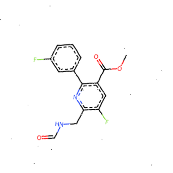 COC(=O)c1cc(F)c(CNC=O)nc1-c1cccc(F)c1